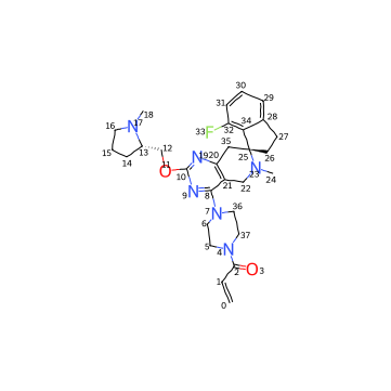 C=CC(=O)N1CCN(c2nc(OC[C@@H]3CCCN3C)nc3c2CN(C)[C@]2(CCc4cccc(F)c42)C3)CC1